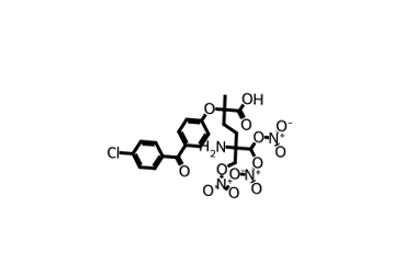 CC(CCC(N)(CO[N+](=O)[O-])C(O[N+](=O)[O-])O[N+](=O)[O-])(Oc1ccc(C(=O)c2ccc(Cl)cc2)cc1)C(=O)O